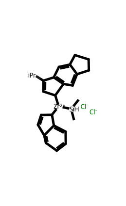 CC(C)C1=C[CH]([Zr+2]([CH]2C=Cc3ccccc32)[SiH](C)C)c2cc3c(cc21)CCC3.[Cl-].[Cl-]